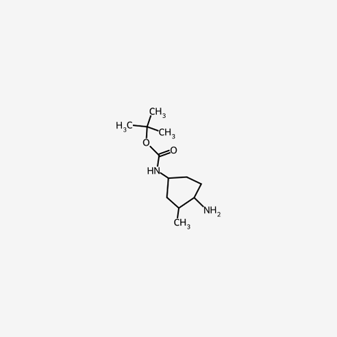 CC1CC(NC(=O)OC(C)(C)C)CCC1N